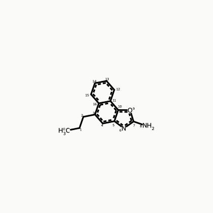 CCCc1cc2nc(N)oc2c2ccccc12